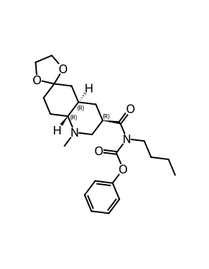 CCCCN(C(=O)Oc1ccccc1)C(=O)[C@@H]1C[C@@H]2CC3(CC[C@H]2N(C)C1)OCCO3